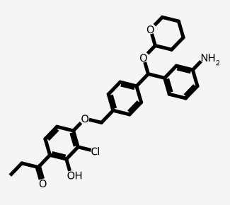 CCC(=O)c1ccc(OCc2ccc(C(OC3CCCCO3)c3cccc(N)c3)cc2)c(Cl)c1O